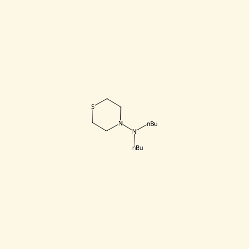 CCCCN(CCCC)N1CCSCC1